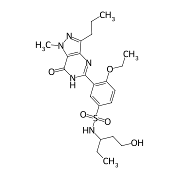 CCCc1nn(C)c2c(=O)[nH]c(-c3cc(S(=O)(=O)NC(CC)CCO)ccc3OCC)nc12